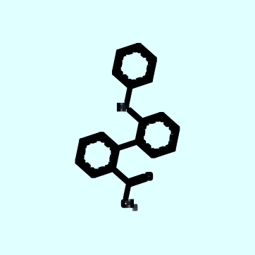 CC(=O)c1ccccc1-c1ccccc1Pc1ccccc1